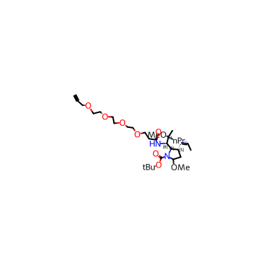 C#CCOCCOCCOCCOCCC(=O)N[C@H]([C@H]1[C@H](/C=C\C)CC(OC)N1C(=O)OC(C)(C)C)[C@](C)(CCC)OC